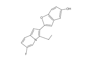 CCc1c(-c2cc3cc(O)ccc3o2)cc2ccc(F)cn12